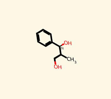 CC(CO)[C@H](O)c1ccccc1